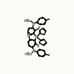 CCCCN(c1ccc(C)cc1)c1ccc(F)[c]([Ti]([C]2=CC=CC2)([C]2=CC=CC2)[c]2c(F)ccc(N(CCCC)c3ccc(C)cc3)c2F)c1F